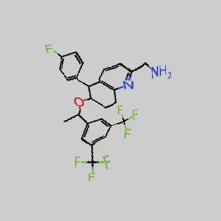 CC(OC1CCc2nc(CN)ccc2C1c1ccc(F)cc1)c1cc(C(F)(F)F)cc(C(F)(F)F)c1